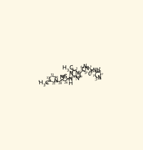 Cc1cn2c(-c3cnn(CC(=O)Nc4ccncc4)c3)cnc2c(NC2CC(CN3CCCC(C)C3)=NS2)n1